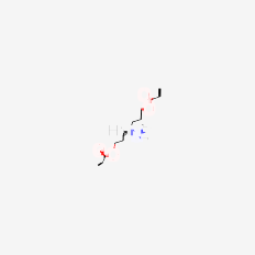 C=CC(=O)OCCC[SiH](CCCOC(=O)C=C)N(C)[Si](C)(C)C